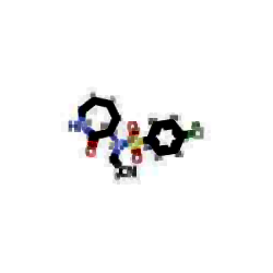 N#CCN([C@@H]1CCCCNC1=O)S(=O)(=O)c1ccc(Cl)cc1